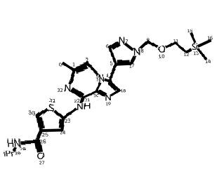 Cc1cn2c(-c3cnn(COCC[Si](C)(C)C)c3)cnc2c(Nc2cc(C(=O)NC(C)C)cs2)n1